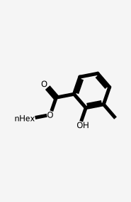 CCCCCCOC(=O)c1cccc(C)c1O